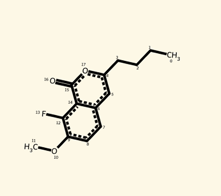 CCCCc1cc2ccc(OC)c(F)c2c(=O)o1